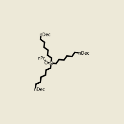 CCCCCCCCCCCCCCCC[Si](CCCCCCCCCCCCCCCC)(CCCCCCCCCCCCCCCC)OCCC